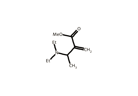 C=C(C(=O)OC)C(C)N(CC)CC